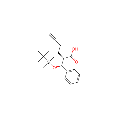 C#CCC[C@@H](C(=O)O)[C@H](O[Si](C)(C)C(C)(C)C)c1ccccc1